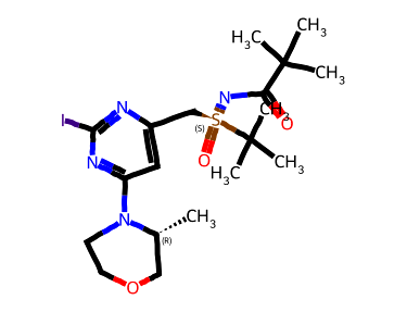 C[C@@H]1COCCN1c1cc(C[S@@](=O)(=NC(=O)C(C)(C)C)C(C)(C)C)nc(I)n1